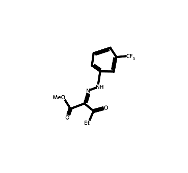 CCC(=O)/C(=N\Nc1cccc(C(F)(F)F)c1)C(=O)OC